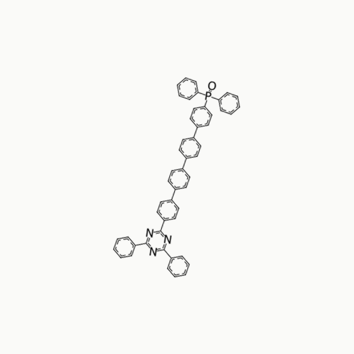 O=P(c1ccccc1)(c1ccccc1)c1ccc(-c2ccc(-c3ccc(-c4ccc(-c5nc(-c6ccccc6)nc(-c6ccccc6)n5)cc4)cc3)cc2)cc1